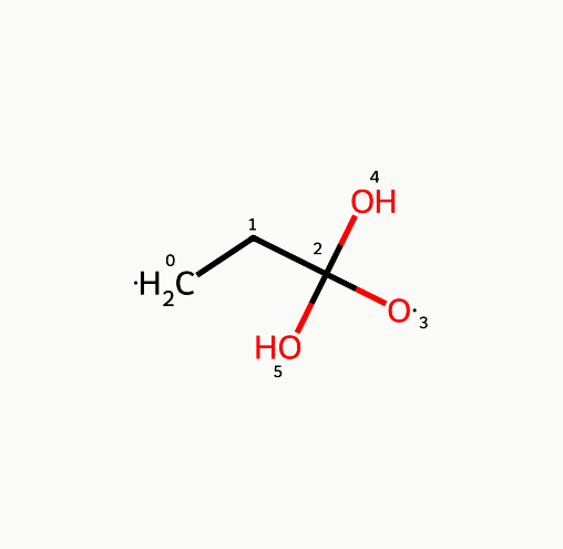 [CH2]CC([O])(O)O